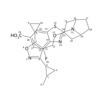 CC1CC1c1noc(C2CC2)c1COC1CC2CCC(C1)N2c1nc2c(F)cc(C(=O)O)cc2s1